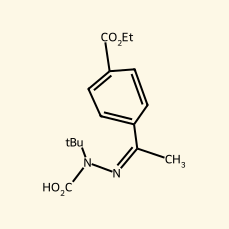 CCOC(=O)c1ccc(/C(C)=N\N(C(=O)O)C(C)(C)C)cc1